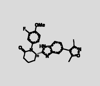 COc1ccc(N2C(=O)CCC[C@H]2c2nc3cc(-c4c(C)noc4C)ccc3[nH]2)cc1F